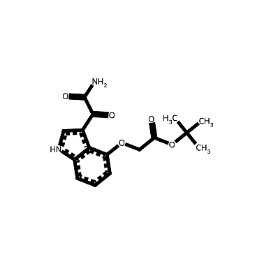 CC(C)(C)OC(=O)COc1cccc2[nH]cc(C(=O)C(N)=O)c12